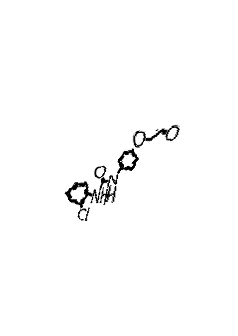 O=[C]COc1ccc(NC(=O)Nc2ccccc2Cl)cc1